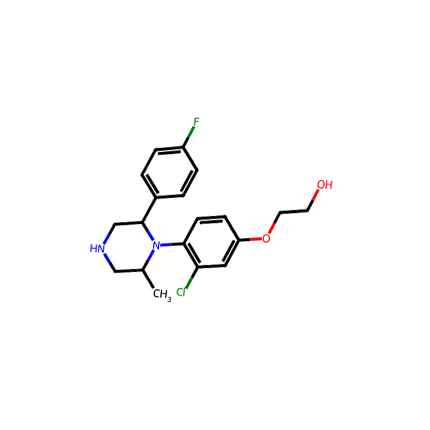 CC1CNCC(c2ccc(F)cc2)N1c1ccc(OCCO)cc1Cl